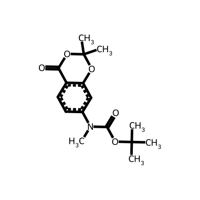 CN(C(=O)OC(C)(C)C)c1ccc2c(c1)OC(C)(C)OC2=O